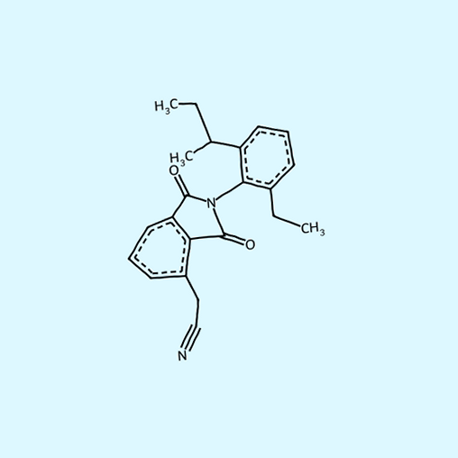 CCc1cccc(C(C)CC)c1N1C(=O)c2cccc(CC#N)c2C1=O